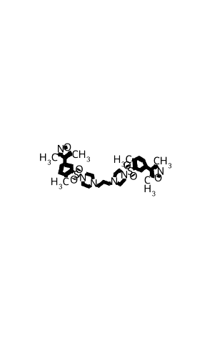 Cc1ccc(-c2c(C)noc2C)cc1S(=O)(=O)N1CCN(CCCN2CCN(S(=O)(=O)c3cc(-c4c(C)noc4C)ccc3C)CC2)CC1